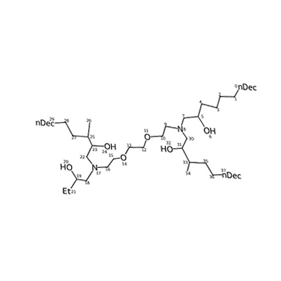 CCCCCCCCCCCCCCC(O)CN(CCOCCOCCN(CC(O)CC)CC(O)C(C)CCCCCCCCCCCC)CC(O)C(C)CCCCCCCCCCCC